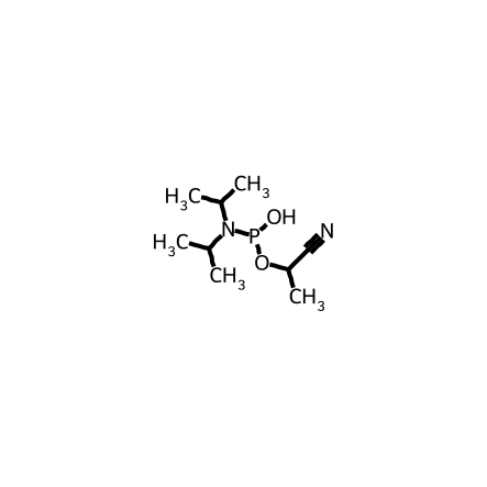 CC(C#N)OP(O)N(C(C)C)C(C)C